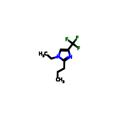 CCCc1nc(C(F)(F)F)cn1CC